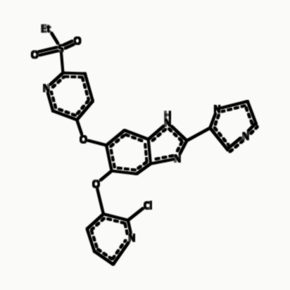 CCS(=O)(=O)c1ccc(Oc2cc3[nH]c(-c4cnccn4)nc3cc2Oc2cccnc2Cl)cn1